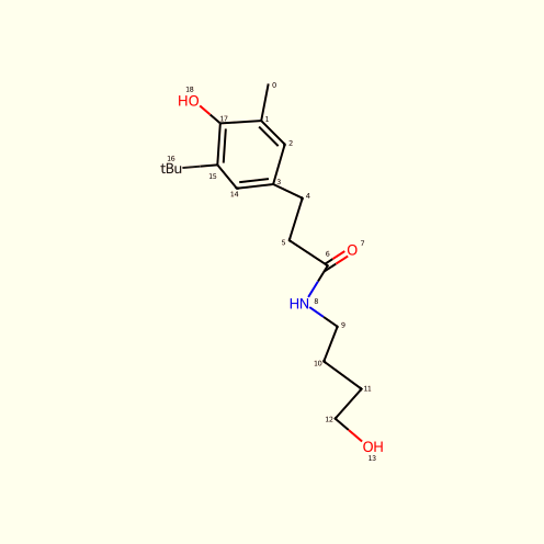 Cc1cc(CCC(=O)NCCCCO)cc(C(C)(C)C)c1O